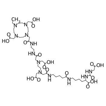 CCN1CCN(CC(=O)O)CCN(CC(=O)NCCNC(=O)CN(CCN(CC(=O)O)CC(=O)NCCCCC(=O)NCCCCC(NC(=O)NCC(=O)O)C(=O)O)CC(=O)O)CCN(CC(=O)O)CC1